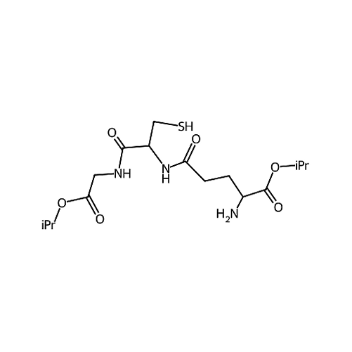 CC(C)OC(=O)CNC(=O)C(CS)NC(=O)CCC(N)C(=O)OC(C)C